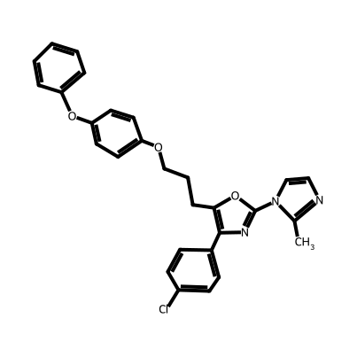 Cc1nccn1-c1nc(-c2ccc(Cl)cc2)c(CCCOc2ccc(Oc3ccccc3)cc2)o1